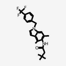 Cc1cc2c(ccn2Cc2ccc(C(F)(F)F)cc2)c(C)c1NC(=O)CC(C)(C)C